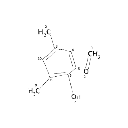 C=O.Cc1ccc(O)c(C)c1